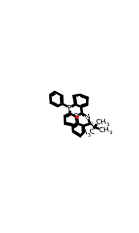 CC(C)(C)[C@@H]1N=C(c2ccccc2P(c2ccccc2)c2ccccc2)Oc2ccccc21